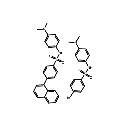 CN(C)c1ccc(NS(=O)(=O)c2ccc(-c3cccc4ccccc34)cc2)cc1.CN(C)c1ccc(NS(=O)(=O)c2ccc(Br)cc2)cc1